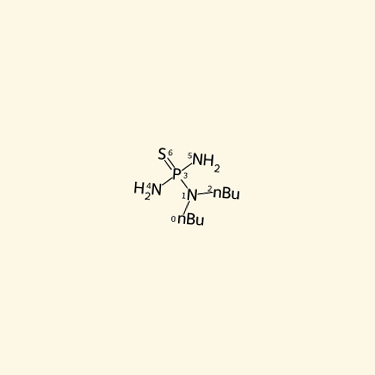 CCCCN(CCCC)P(N)(N)=S